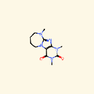 CN1CCCCn2c1nc1c2c(=O)n(C)c(=O)n1C